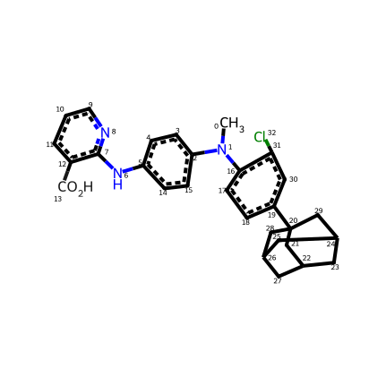 CN(c1ccc(Nc2ncccc2C(=O)O)cc1)c1ccc(C23CC4CC(CC(C4)C2)C3)cc1Cl